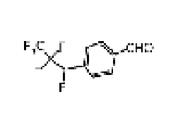 O=Cc1ccc(C(F)C(F)(F)C(F)(F)F)cc1